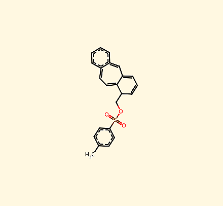 Cc1ccc(S(=O)(=O)OCC2C=CC=C3C=c4ccccc4=CC=C32)cc1